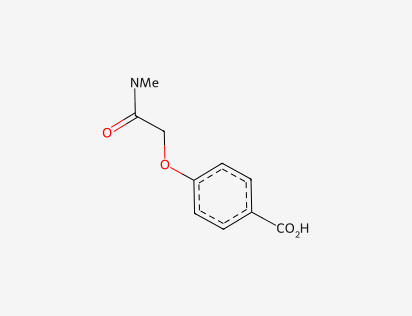 CNC(=O)COc1ccc(C(=O)O)cc1